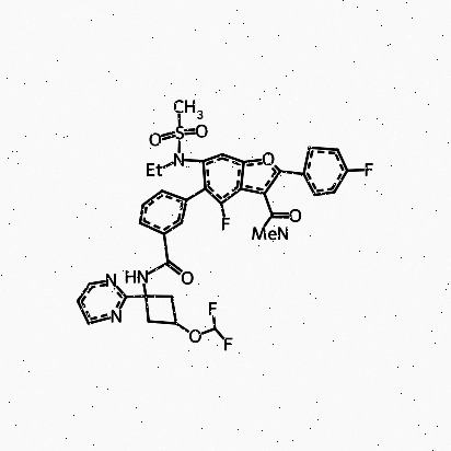 CCN(c1cc2oc(-c3ccc(F)cc3)c(C(=O)NC)c2c(F)c1-c1cccc(C(=O)NC2(c3ncccn3)CC(OC(F)F)C2)c1)S(C)(=O)=O